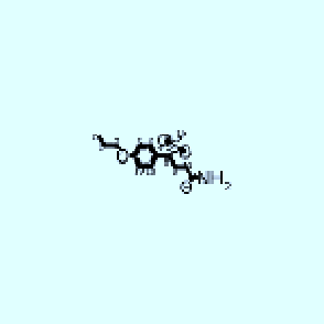 CCCOc1ccc(C(CCC(N)=O)S(C)(=O)=O)cc1